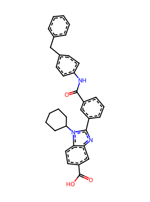 O=C(O)c1ccc2c(c1)nc(-c1cccc(C(=O)Nc3ccc(Cc4ccccc4)cc3)c1)n2C1CCCCC1